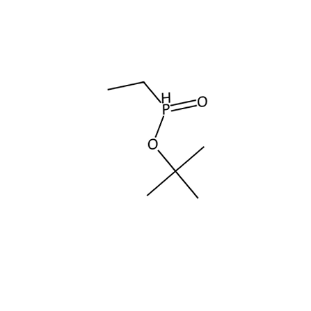 CC[PH](=O)OC(C)(C)C